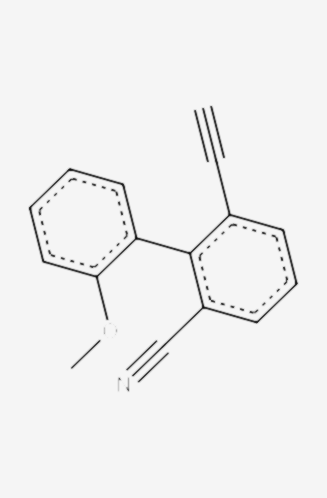 C#Cc1cccc(C#N)c1-c1ccccc1OC